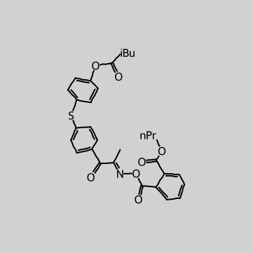 CCCOC(=O)c1ccccc1C(=O)O/N=C(\C)C(=O)c1ccc(Sc2ccc(OC(=O)C(C)CC)cc2)cc1